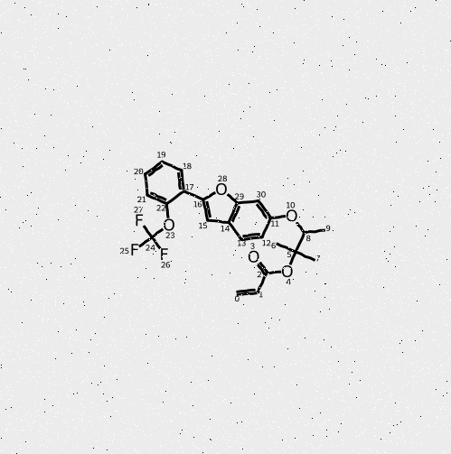 C=CC(=O)OC(C)(C)C(C)Oc1ccc2cc(-c3ccccc3OC(F)(F)F)oc2c1